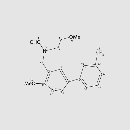 COCCN(C=O)Cc1cc(-c2cccc(C(F)(F)F)c2)cnc1OC